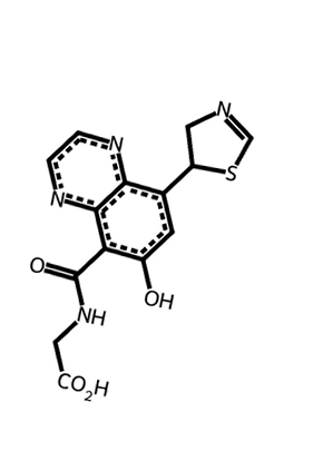 O=C(O)CNC(=O)c1c(O)cc(C2CN=CS2)c2nccnc12